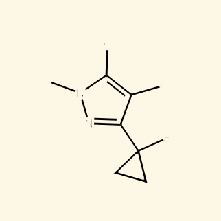 Cn1nc(C2(F)CC2)c(I)c1Cl